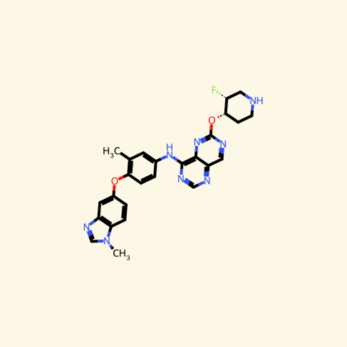 Cc1cc(Nc2ncnc3cnc(O[C@H]4CCNC[C@H]4F)nc23)ccc1Oc1ccc2c(c1)ncn2C